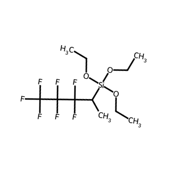 CCO[Si](OCC)(OCC)C(C)C(F)(F)C(F)(F)C(F)(F)F